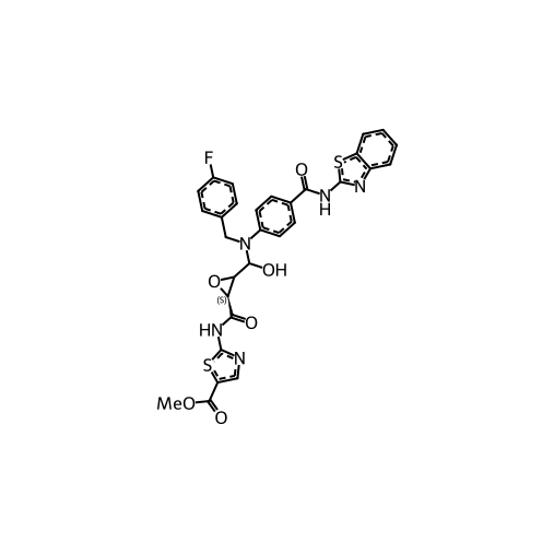 COC(=O)c1cnc(NC(=O)[C@H]2OC2C(O)N(Cc2ccc(F)cc2)c2ccc(C(=O)Nc3nc4ccccc4s3)cc2)s1